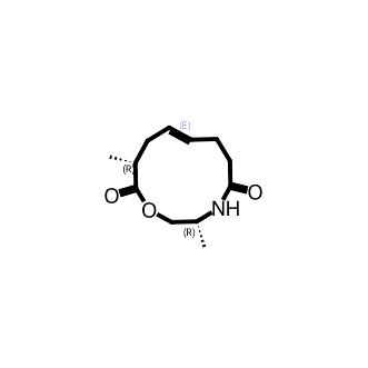 C[C@@H]1COC(=O)[C@H](C)C/C=C/CCC(=O)N1